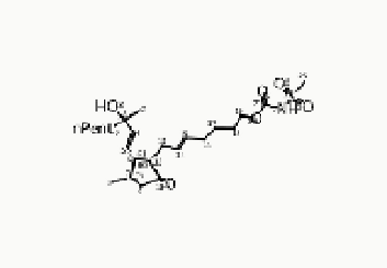 CCCCC[C@](C)(O)C=C[C@H]1[C@H](C)CC(=O)[C@@H]1CC=CCCCCOC(=O)NS(C)(=O)=O